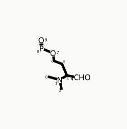 CN(C)C(C=O)CCOP=O